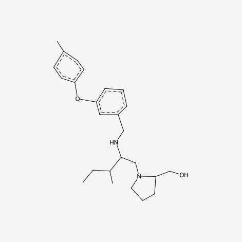 CCC(C)C(CN1CCCC1CO)NCc1cccc(Oc2ccc(C)cc2)c1